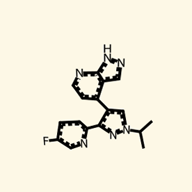 CC(C)n1cc(-c2ccnc3[nH]ncc23)c(-c2ccc(F)cn2)n1